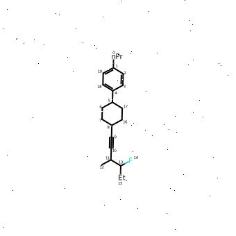 CCCc1ccc(C2CCC(C#CC(C)C(F)CC)CC2)cc1